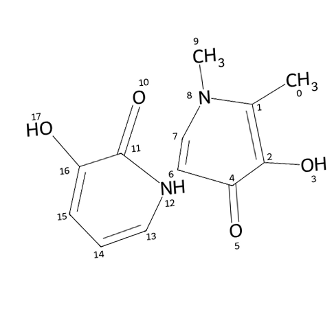 Cc1c(O)c(=O)ccn1C.O=c1[nH]cccc1O